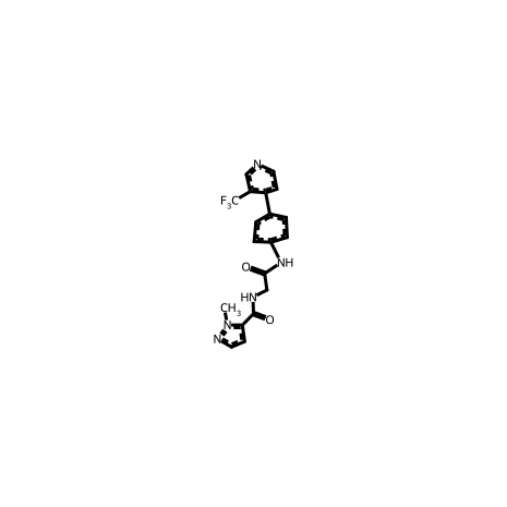 Cn1nccc1C(=O)NCC(=O)Nc1ccc(-c2ccncc2C(F)(F)F)cc1